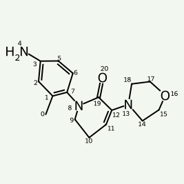 Cc1cc(N)ccc1N1CCC=C(N2CCOCC2)C1=O